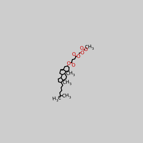 COC(=O)OCOC(=O)CCC(=O)OC1CCC2(C)C(=CCC3C2CCC2(C)C(CCCCC(C)C)CCC32)C1